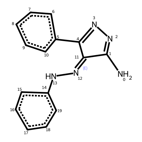 NC1=NN=C(c2ccccc2)/C1=N\Nc1ccccc1